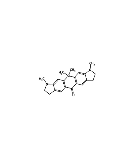 CN1CCc2cc3c(cc21)[Si](C)(C)c1cc2c(cc1C3=O)CCN2C